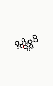 c1ccc(N(c2ccc(-c3cccc4ccccc34)cc2)c2cccc3oc4ccccc4c23)c(-c2cccc3sc4ccccc4c23)c1